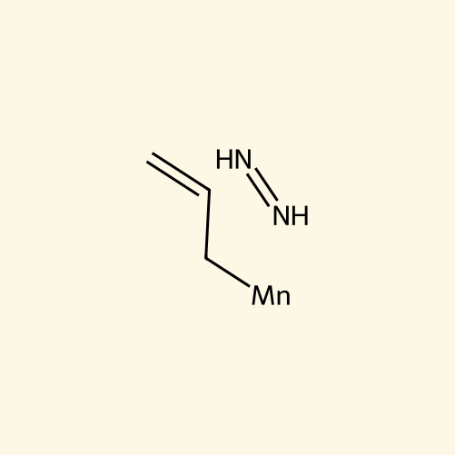 C=C[CH2][Mn].N=N